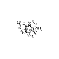 N[C@H]1CCCN2c3cc(Cl)ccc3Nc3ccccc3[C@@H]12